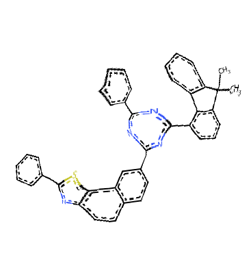 CC1(C)c2ccccc2-c2c(-c3nc(-c4ccccc4)nc(-c4ccc5ccc6nc(-c7ccccc7)sc6c5c4)n3)cccc21